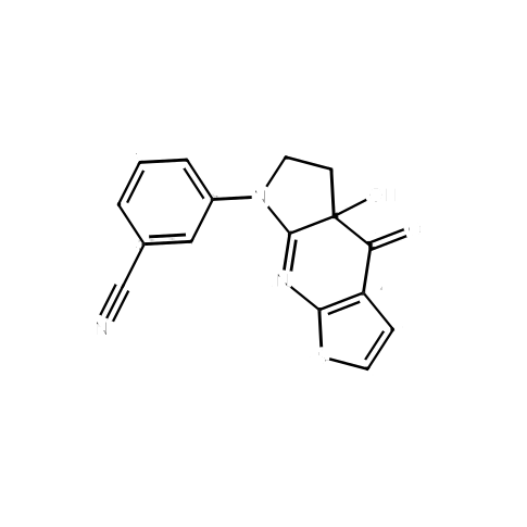 N#Cc1cccc(N2CCC3(O)C(=O)c4ccsc4N=C23)c1